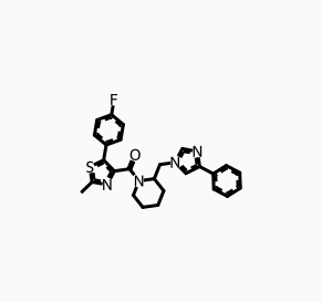 Cc1nc(C(=O)N2CCCCC2Cn2cnc(-c3ccccc3)c2)c(-c2ccc(F)cc2)s1